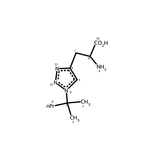 CCCC(C)(C)n1cc(CC(N)C(=O)O)nn1